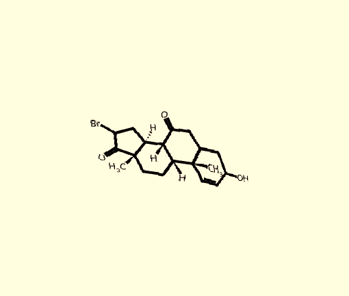 C[C@]12C=CC(O)CC1CC(=O)[C@@H]1[C@H]2CC[C@]2(C)C(=O)C(Br)C[C@@H]12